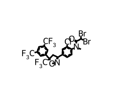 CN(C(=O)C(Br)Br)c1ccc(C2=NOC(c3cc(C(F)(F)F)cc(C(F)(F)F)c3)(C(F)(F)F)C2)cc1Cl